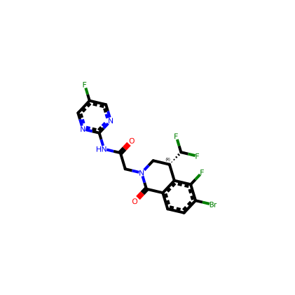 O=C(CN1C[C@H](C(F)F)c2c(ccc(Br)c2F)C1=O)Nc1ncc(F)cn1